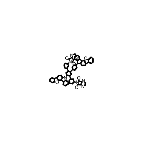 O=C1c2nccnc2C(=O)N1c1cccc(-c2cc(-n3c4ccccc4c4c5oc6ccccc6c5ccc43)c(-c3cccc(N4C(=O)c5nccnc5C4=O)c3)cc2-c2ccc(C3c4ccccc4-c4c3ccc3c4oc4ccccc43)cc2)c1